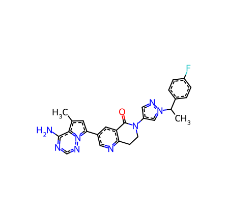 Cc1cc(-c2cnc3c(c2)C(=O)N(c2cnn(C(C)c4ccc(F)cc4)c2)CC3)n2ncnc(N)c12